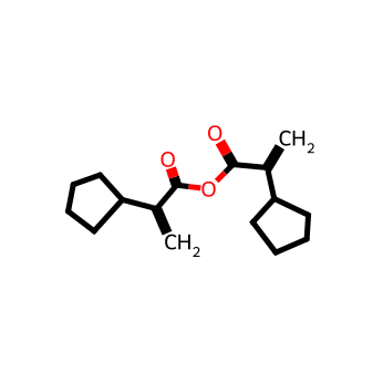 C=C(C(=O)OC(=O)C(=C)C1CCCC1)C1CCCC1